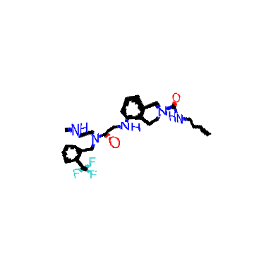 CCCCNC(=O)N1CCc2c(cccc2NCC(=O)N(CCNC)Cc2ccccc2C(F)(F)F)C1